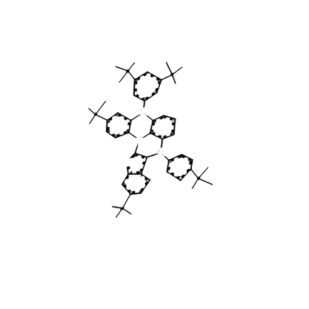 CC(C)(C)c1ccc(N2c3cccc4c3B(c3ccc(C(C)(C)C)cc3N4c3cc(C(C)(C)C)cc(C(C)(C)C)c3)c3sc4cc(C(C)(C)C)ccc4c32)cc1